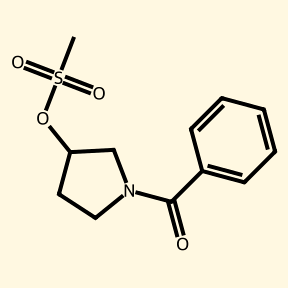 CS(=O)(=O)OC1CCN(C(=O)c2ccccc2)C1